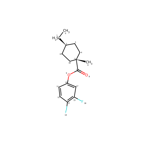 C[SiH2][C@H]1CC[C@](C)(C(=O)Oc2ccc(F)c(F)c2)CC1